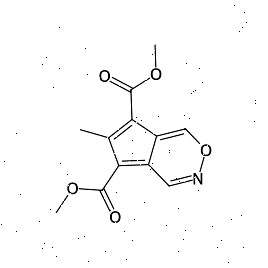 COC(=O)c1c2cnocc-2c(C(=O)OC)c1C